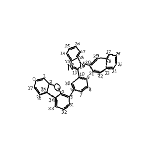 C1=CC2Oc3c(-c4cccc(-c5nc6ccccc6n5-c5ccc6ccccc6c5)c4)cccc3C2C=C1